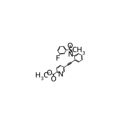 COC(=O)c1ccc(C#Cc2ccccc2N=S(C)(=O)c2cccc(F)c2)cn1